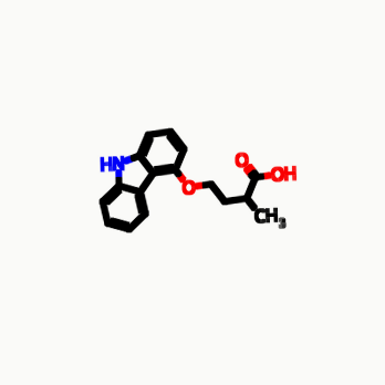 CC(CCOc1cccc2[nH]c3ccccc3c12)C(=O)O